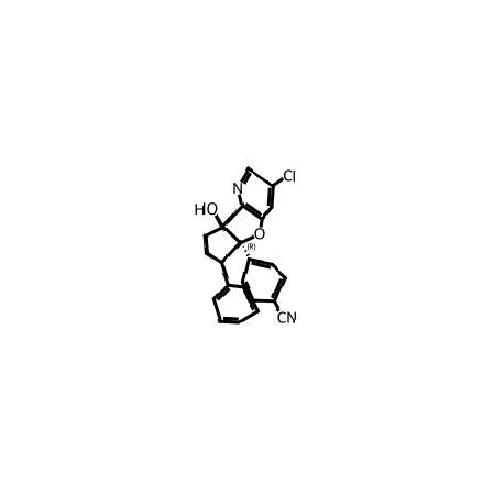 N#Cc1ccc([C@@]23Oc4cc(Cl)cnc4C2(O)CCC3c2ccccc2)cc1